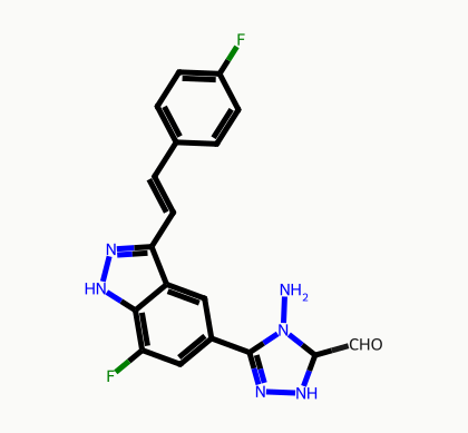 NN1C(c2cc(F)c3[nH]nc(/C=C/c4ccc(F)cc4)c3c2)=NNC1C=O